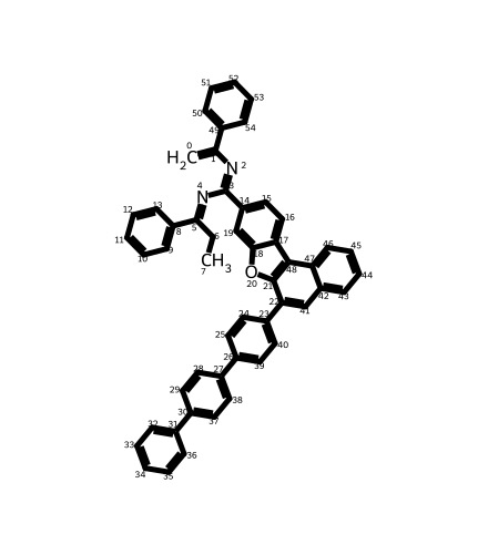 C=C(/N=C(\N=C(/CC)c1ccccc1)c1ccc2c(c1)oc1c(-c3ccc(-c4ccc(-c5ccccc5)cc4)cc3)cc3ccccc3c12)c1ccccc1